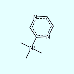 C[N+](C)(C)c1cnccn1